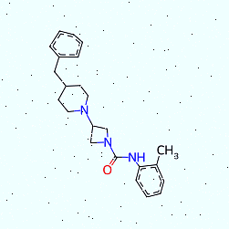 Cc1ccccc1NC(=O)N1CC(N2CCC(Cc3ccccc3)CC2)C1